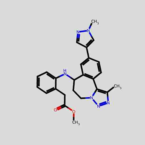 COC(=O)Cc1ccccc1NC1CCn2nnc(C)c2-c2ccc(-c3cnn(C)c3)cc21